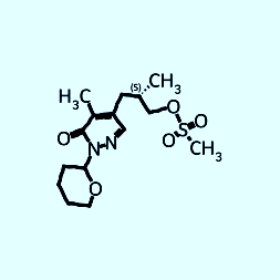 Cc1c(C[C@H](C)COS(C)(=O)=O)cnn(C2CCCCO2)c1=O